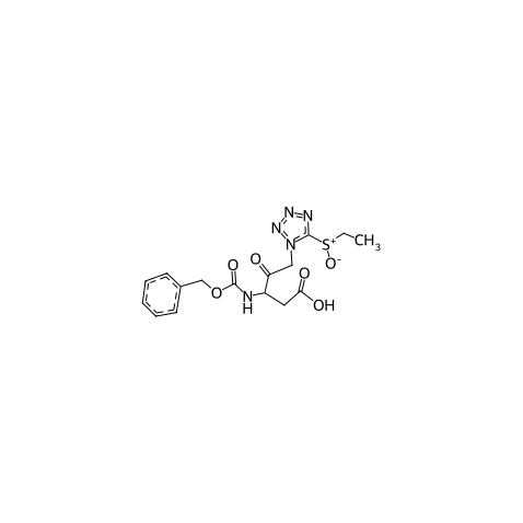 CC[S+]([O-])c1nnnn1CC(=O)C(CC(=O)O)NC(=O)OCc1ccccc1